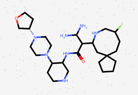 NC(N)C(C(=O)NC1CNCCC1N1CCN([C@H]2CCOC2)CC1)C1CC2(CCCC2)CCC(F)CN1